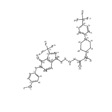 COc1ccc(Cn2ncc3c(c(C(F)(F)F)nn3CCOCC(=O)N(C)C3CCN(c4ncc(C(F)(F)F)cn4)CC3)c2=O)cc1